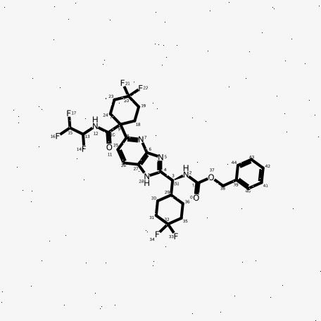 O=C(N[C@H](c1nc2nc(C3(C(=O)NC(F)C(F)F)CCC(F)(F)CC3)ccc2[nH]1)C1CCC(F)(F)CC1)OCc1ccccc1